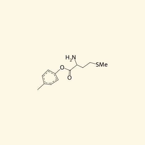 CSCCC(N)C(=O)Oc1ccc(C)cc1